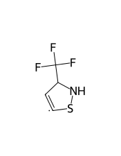 FC(F)(F)C1C=[C]SN1